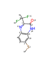 CSc1ccc2nc(C(C)(F)F)c(=O)[nH]c2c1